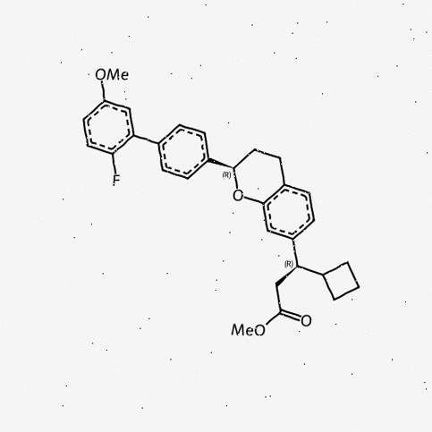 COC(=O)C[C@@H](c1ccc2c(c1)O[C@@H](c1ccc(-c3cc(OC)ccc3F)cc1)CC2)C1CCC1